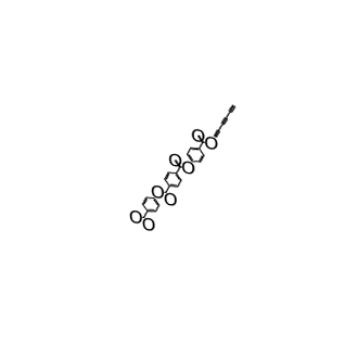 C#CC#CC#COC(=O)c1ccc(OC(=O)c2ccc(C(=O)Oc3ccc(C(=O)OC)cc3)cc2)cc1